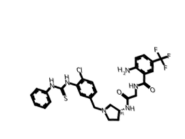 Nc1ccc(C(F)(F)F)cc1C(=O)NCC(=O)N[C@@H]1CCN(Cc2ccc(Cl)c(NC(=S)Nc3ccccc3)c2)C1